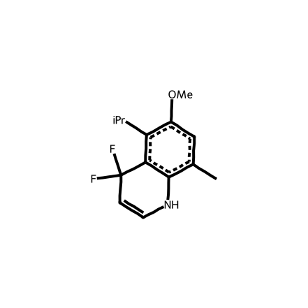 COc1cc(C)c2c(c1C(C)C)C(F)(F)C=CN2